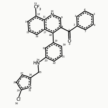 O=C(c1ccccc1)c1cnc2c(C(F)(F)F)cccc2c1-c1cccc(NCc2ccc(Cl)s2)c1